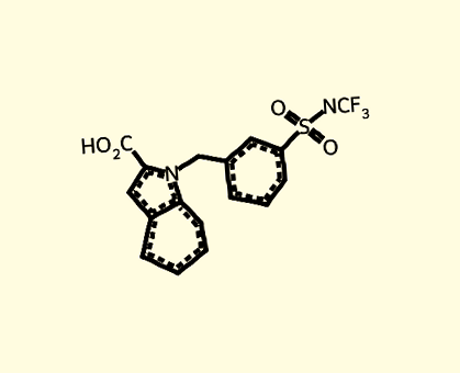 O=C(O)c1cc2ccccc2n1Cc1cccc(S(=O)(=O)NC(F)(F)F)c1